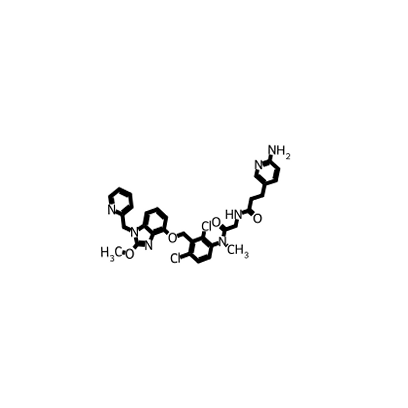 COc1nc2c(OCc3c(Cl)ccc(N(C)C(=O)CNC(=O)CCc4ccc(N)nc4)c3Cl)cccc2n1Cc1ccccn1